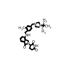 Cc1cc(CN2CCN(C(C)(C)C)CC2)ccc1CNc1cccc2c1CN(C1CCC(=O)NC1=O)C2=O